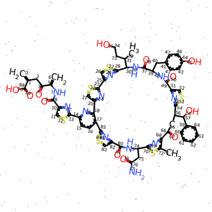 C=C(CC(=O)C(=C)NC(=O)c1csc(-c2ccc3c(n2)-c2csc(n2)-c2csc(n2)C(C(C)CCO)NC(=O)C(Cc2ccc(O)cc2)NC(=O)c2csc(n2)C(C(O)c2ccccc2)CC(=O)c2nc(sc2C)C(CC(N)=O)NC(=O)c2csc-3n2)n1)C(=O)O